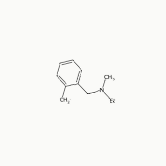 [CH2]c1ccccc1CN(C)CC